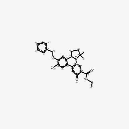 CCOC(=O)c1cn2c(cc1=O)-c1cc(Cl)c(OCc3ccccc3)cc1C1CCC(C)(C)N12